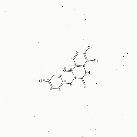 O=c1[nH]c2c(F)c(Cl)ccc2c(=O)n1Cc1ccc(Cl)cc1